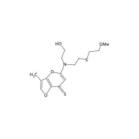 COCCSCCN(CCO)c1cc(=S)c2occ(C)c2o1